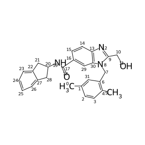 Cc1ccc(C)c(Cn2c(CO)nc3ccc(C(=O)NC4Cc5ccccc5C4)cc32)c1